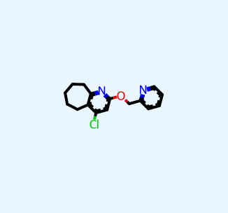 Clc1cc(OCc2ccccn2)nc2c1CCCCC2